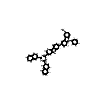 N#Cc1ccc2c(c1)c1cc(-c3ccc4c(c3)oc3cc(-c5nc(-c6ccc7ccccc7c6)nc(-c6ccc7ccccc7c6)n5)cnc34)ccc1n2-c1ccccc1